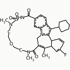 CC1=C2Cn3c(c(C4CCCCC4)c4ccc(cc43)C(=O)NS(=O)(=O)N(C)CCOCCN(C)C2=O)C2C=CC(F)=CC12